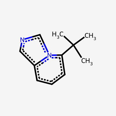 CC(C)(C)c1cccc2cncn12